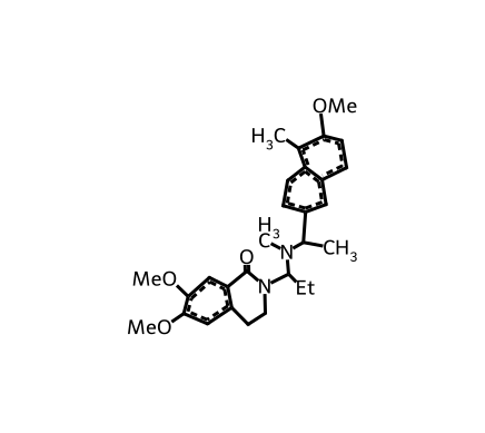 CCC(N1CCc2cc(OC)c(OC)cc2C1=O)N(C)C(C)c1ccc2c(C)c(OC)ccc2c1